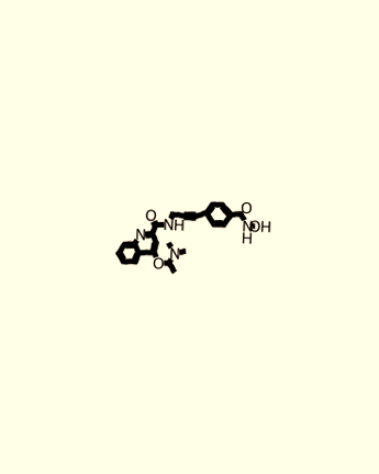 CC(Oc1cc(C(=O)NCC#Cc2ccc(C(=O)NO)cc2)nc2ccccc12)N(C)C